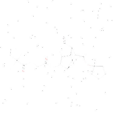 CCC(C)(C)C(=O)OCC(=O)OC1C2CC3C1OC(=O)C3C2C(=O)OC1(C)CCCC1